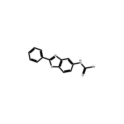 CC(C)C(=O)Nc1ccc2sc(-c3ccccc3)nc2c1